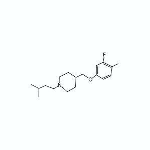 Cc1ccc(OCC2CCN(CCC(C)C)CC2)cc1F